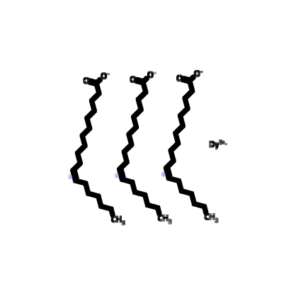 CCCCCC/C=C\CCCCCCCCCC(=O)[O-].CCCCCC/C=C\CCCCCCCCCC(=O)[O-].CCCCCC/C=C\CCCCCCCCCC(=O)[O-].[Dy+3]